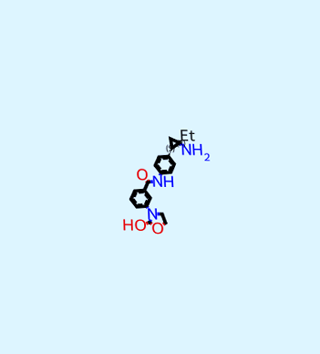 CC[C@@]1(N)C[C@H]1c1ccc(NC(=O)c2cccc(N3CCOC3O)c2)cc1